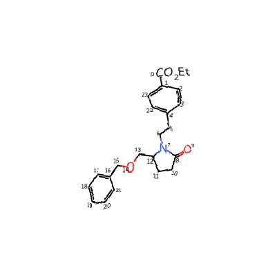 CCOC(=O)c1ccc(CCN2C(=O)CCC2COCc2ccccc2)cc1